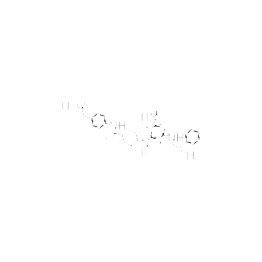 CNc1nc(NC[C@H](C)c2ccccc2)nc(NC2CCC(C(=O)Nc3ccc(CC(=O)O)cc3)CC2)n1